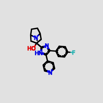 CN1C2CCC1CC(O)(c1nc(-c3ccc(F)cc3)c(-c3ccncc3)[nH]1)C2